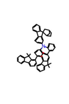 CC1(C)c2ccccc2-c2ccc(-c3ccccc3N(c3ccc(-c4cccc5c4C(C)(C)c4ccccc4-5)cc3)c3ccc4c(c3)C3(CC5CCC3C5)c3ccccc3-4)cc21